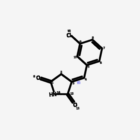 O=C1C/C(=C\c2cccc(Cl)c2)C(=O)N1